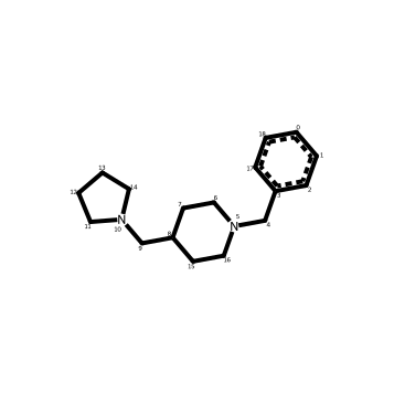 c1ccc(CN2CCC(CN3CCCC3)CC2)cc1